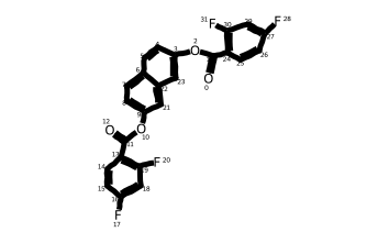 O=C(Oc1ccc2ccc(OC(=O)c3ccc(F)cc3F)cc2c1)c1ccc(F)cc1F